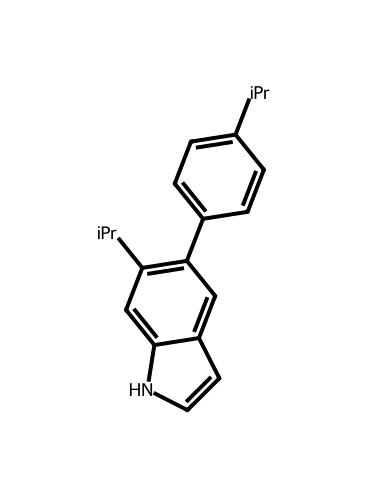 CC(C)c1ccc(-c2cc3cc[nH]c3cc2C(C)C)cc1